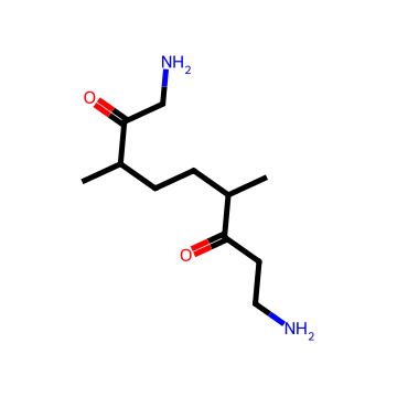 CC(CCC(C)C(=O)CCN)C(=O)CN